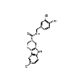 O=C(NCc1ccc(O)c(Cl)c1)N1CCc2c([nH]c3ccc(Cl)cc23)C1